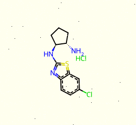 Cl.N[C@H]1CCC[C@@H]1Nc1nc2ccc(Cl)cc2s1